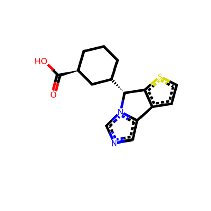 O=C(O)[C@H]1CCCC([C@@H]2c3sccc3-c3cncn32)C1